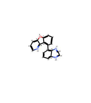 c1cc(-c2cccc3oc4cccnc4c23)c2nccnc2c1